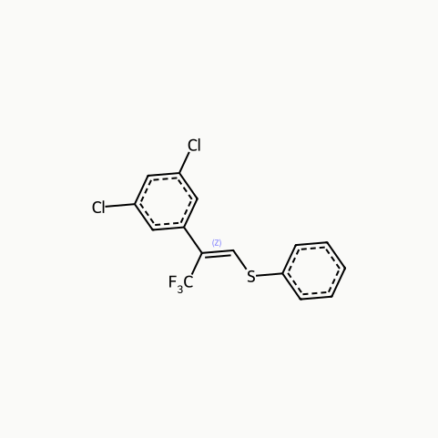 FC(F)(F)/C(=C\Sc1ccccc1)c1cc(Cl)cc(Cl)c1